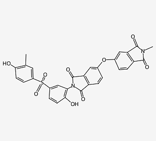 Cc1cc(S(=O)(=O)c2ccc(O)c(N3C(=O)c4ccc(Oc5ccc6c(c5)C(=O)N(C)C6=O)cc4C3=O)c2)ccc1O